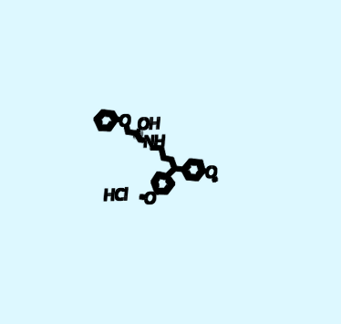 COc1ccc(C(CCCCNC[C@H](O)COc2ccccc2)c2ccc(OC)cc2)cc1.Cl